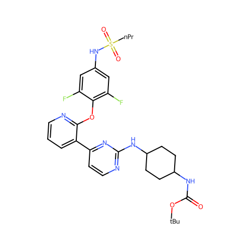 CCCS(=O)(=O)Nc1cc(F)c(Oc2ncccc2-c2ccnc(NC3CCC(NC(=O)OC(C)(C)C)CC3)n2)c(F)c1